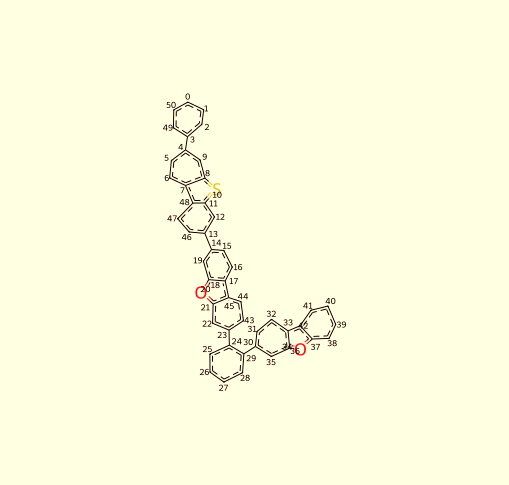 c1ccc(-c2ccc3c(c2)sc2cc(-c4ccc5c(c4)oc4cc(-c6ccccc6-c6ccc7c(c6)oc6ccccc67)ccc45)ccc23)cc1